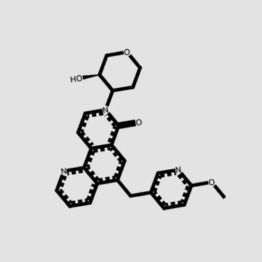 COc1ccc(Cc2cc3c(=O)n(C4CCOC[C@@H]4O)ccc3c3ncccc23)cn1